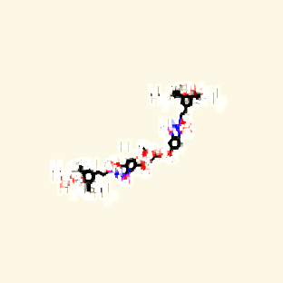 CC(=O)OC(COC(=O)c1ccc2c(c1)C(=O)N(NC(=O)CCc1cc(C(C)(C)C)c(O)c(C(C)(C)C)c1)C2=O)COC(=O)c1ccc2c(c1)C(=O)N(NC(=O)CCc1cc(C(C)(C)C)c(O)c(C(C)(C)C)c1)C2=O